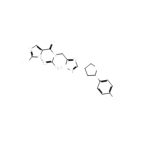 Cc1ccc([C@H]2C[C@H](c3noc(Cn4c(N)nn5c(C(F)(F)F)ncc5c4=O)n3)CO2)cc1